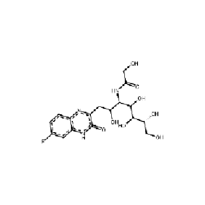 O=C(CO)N[C@H](C(O)Cc1nc2ccc(F)cc2[nH]c1=O)C(O)[C@H](O)[C@H](O)CO